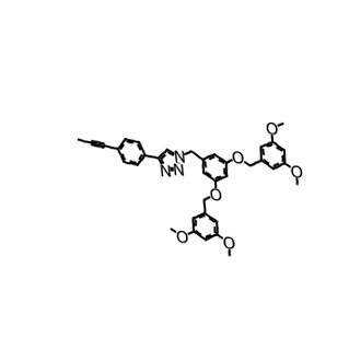 CC#Cc1ccc(-c2cn(Cc3cc(OCc4cc(OC)cc(OC)c4)cc(OCc4cc(OC)cc(OC)c4)c3)nn2)cc1